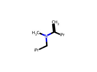 C=C(C(C)C)N(C)CC(C)C